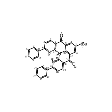 CC(C)(C)c1cc2c(=O)c3ccc(-c4ccccc4)nc3n3c4nc(-c5ccccc5)ccc4c(=O)c(c1)c23